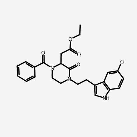 CCOC(=O)CC1C(=O)N(CCc2c[nH]c3ccc(Cl)cc23)CCN1C(=O)c1ccccc1